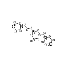 CC(C)CN(CCCN1CCOCC1)CCCN1CCOCC1